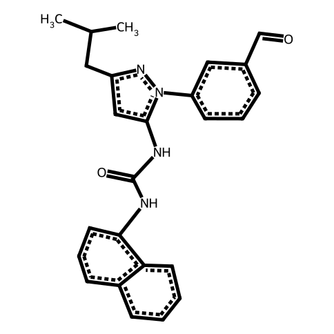 CC(C)Cc1cc(NC(=O)Nc2cccc3ccccc23)n(-c2cccc(C=O)c2)n1